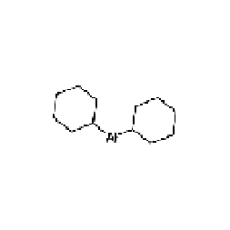 C1CC[CH]([Al][CH]2CCCCC2)CC1